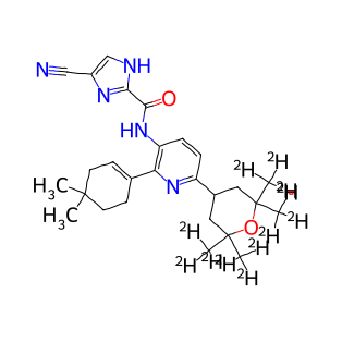 [2H]C([2H])([2H])C1(C([2H])([2H])[2H])CC(c2ccc(NC(=O)c3nc(C#N)c[nH]3)c(C3=CCC(C)(C)CC3)n2)CC(C([2H])([2H])[2H])(C([2H])([2H])[2H])O1